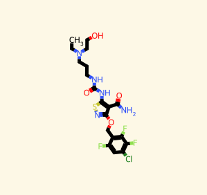 CCN(CCO)CCCNC(=O)Nc1snc(OCc2c(F)cc(Cl)c(F)c2F)c1C(N)=O